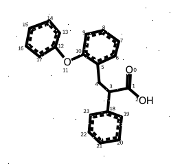 O=C(O)C(Cc1ccccc1Oc1ccccc1)c1ccccc1